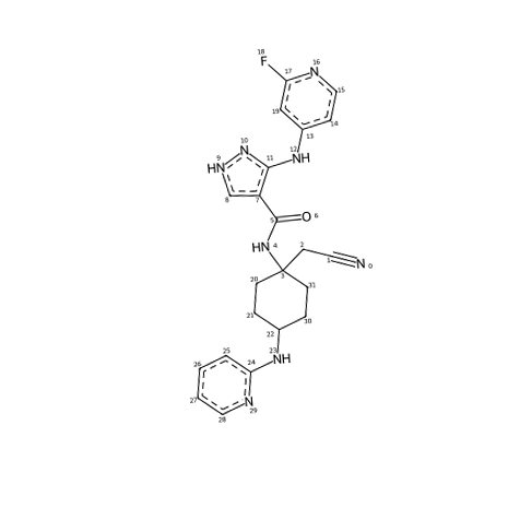 N#CCC1(NC(=O)c2c[nH]nc2Nc2ccnc(F)c2)CCC(Nc2ccccn2)CC1